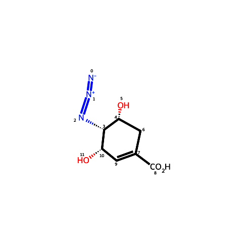 [N-]=[N+]=N[C@@H]1[C@H](O)CC(C(=O)O)=C[C@@H]1O